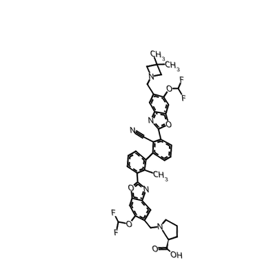 Cc1c(-c2nc3cc(CN4CCC[C@H]4C(=O)O)c(OC(F)F)cc3o2)cccc1-c1cccc(-c2nc3cc(CN4CC(C)(C)C4)c(OC(F)F)cc3o2)c1C#N